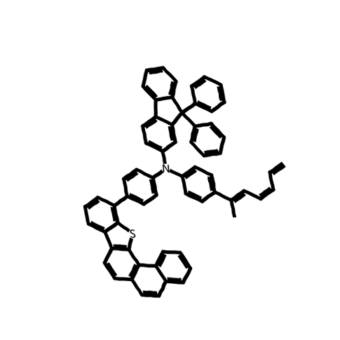 C=C/C=C\C=C(/C)c1ccc(N(c2ccc(-c3cccc4c3sc3c4ccc4ccc5ccccc5c43)cc2)c2ccc3c(c2)C(c2ccccc2)(c2ccccc2)c2ccccc2-3)cc1